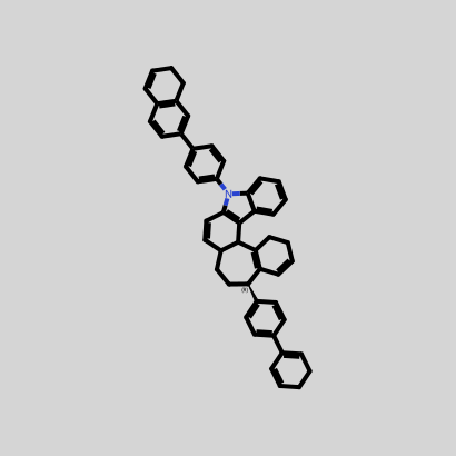 C1=CC(c2ccc([C@H]3CCC4C=Cc5c(c6ccccc6n5-c5ccc(-c6ccc7c(c6)CCC=C7)cc5)C4C4=C3C=CCC4)cc2)=CCC1